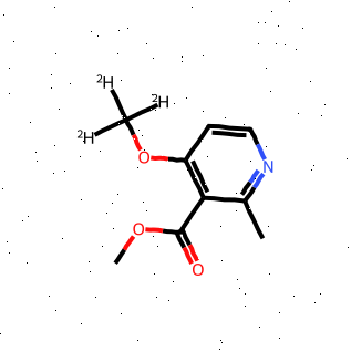 [2H]C([2H])([2H])Oc1ccnc(C)c1C(=O)OC